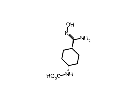 N/C(=N\O)[C@H]1CC[C@H](NC(=O)O)CC1